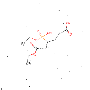 CCOC(=O)CC(CCC(=O)O)P(=O)(O)OCC